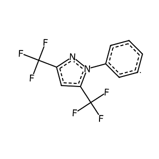 FC(F)(F)c1cc(C(F)(F)F)n(-c2c[c]ccc2)n1